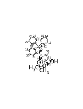 CC1(C)O[C@@H]2[C@H](O1)C(COC(c1ccccc1)(c1ccccc1)c1ccccc1)C(I)[C@@H]2O